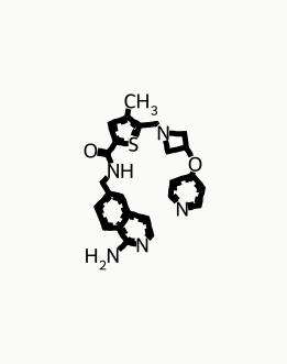 Cc1cc(C(=O)NCc2ccc3c(N)nccc3c2)sc1CN1CC(Oc2ccncc2)C1